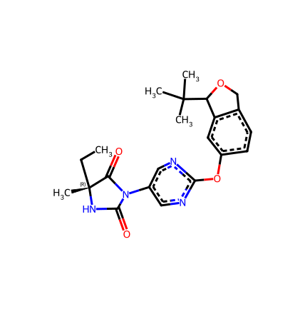 CC[C@@]1(C)NC(=O)N(c2cnc(Oc3ccc4c(c3)C(C(C)(C)C)OC4)nc2)C1=O